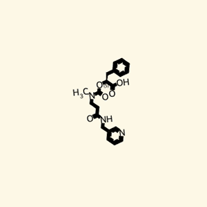 CN(CCC(=O)NCc1cccnc1)C(=O)O[C@@H](Cc1ccccc1)C(=O)O